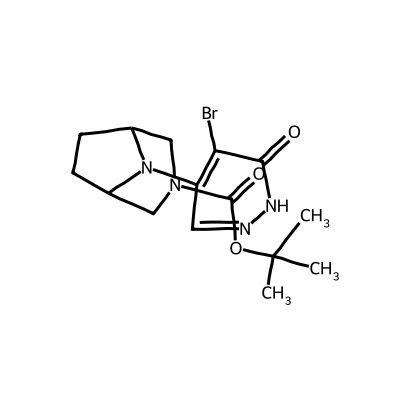 CC(C)(C)OC(=O)N1CC2CCC(C1)N2c1cn[nH]c(=O)c1Br